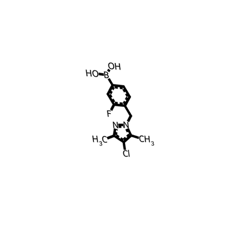 Cc1nn(Cc2ccc(B(O)O)cc2F)c(C)c1Cl